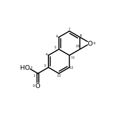 O=C(O)C1=CC2=CC=C3OC3C2C=C1